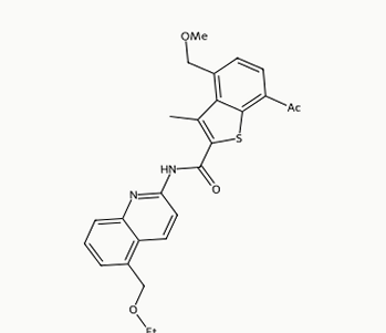 CCOCc1cccc2nc(NC(=O)c3sc4c(C(C)=O)ccc(COC)c4c3C)ccc12